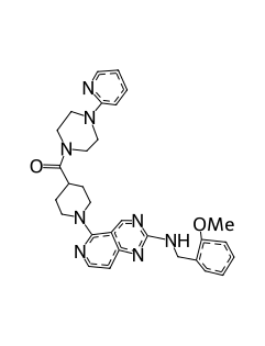 COc1ccccc1CNc1ncc2c(N3CCC(C(=O)N4CCN(c5ccccn5)CC4)CC3)nccc2n1